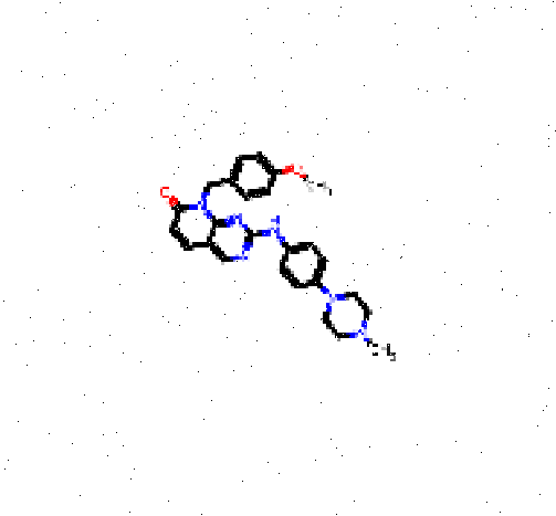 COc1ccc(Cn2c(=O)ccc3cnc(Nc4ccc(N5CCN(C)CC5)cc4)nc32)cc1